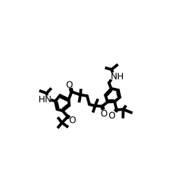 CC(C)NCc1ccc(C(=O)C(C)(C)C)c(C(=O)C(C)(C)CCC(C)(C)C(=O)c2cc(NC(C)C)cc(C(=O)C(C)(C)C)c2)c1